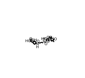 Cc1cn([C@@H]2O[C@H](C(=O)NCCCC(=O)Nc3ccc(CP(=O)(O)O)cc3)[C@H](O)[C@@H]2O)c(=O)[nH]c1=O